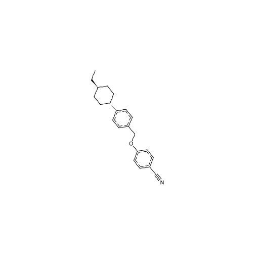 CC[C@H]1CC[C@H](c2ccc(COc3ccc(C#N)cc3)cc2)CC1